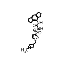 CN1CC(Cn2ccc(S(=O)(=O)NC(=O)Nc3c4c(cc5c3CCC5)CCC4)n2)C1